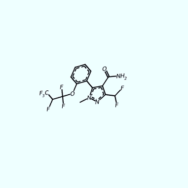 Cn1nc(C(F)F)c(C(N)=O)c1-c1ccccc1OC(F)(F)C(F)C(F)(F)F